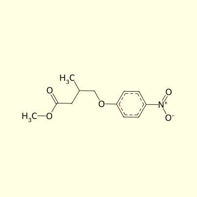 COC(=O)CC(C)COc1ccc([N+](=O)[O-])cc1